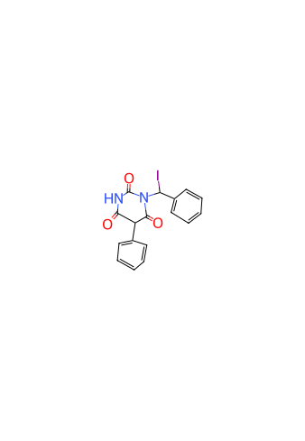 O=C1NC(=O)N(C(I)c2ccccc2)C(=O)C1c1ccccc1